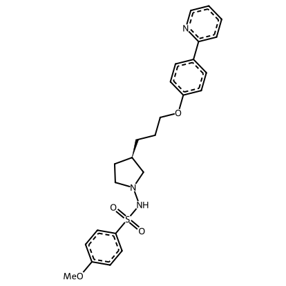 COc1ccc(S(=O)(=O)NN2CC[C@@H](CCCOc3ccc(-c4ccccn4)cc3)C2)cc1